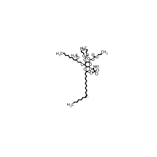 C=CCOC(=O)OC[C@H]1OC(OC(=N)C(Cl)(Cl)Cl)[C@H](OC(=O)CCCCCCCCC/C=C\CCCCCC)[C@@H](OCC[C@@H](CCCCCCC)OC)[C@@H]1OP(=O)(OCC=C)OCC=C